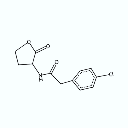 O=C(Cc1ccc(Cl)cc1)NC1CCOC1=O